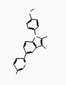 CC(=O)c1c(C(=O)O)n(-c2ccc(OC(C)C)cc2)c2ccc(-c3ccc(C(F)(F)F)cn3)cc12